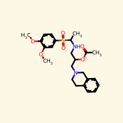 COc1ccc(S(=O)(=O)C(C)NCC(CN2CCc3ccccc3C2)OC(C)=O)cc1OC